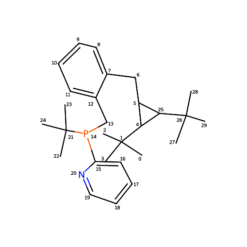 CC(C)(C)C1C(Cc2ccccc2CP(c2ccccn2)C(C)(C)C)C1C(C)(C)C